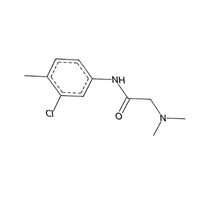 Cc1ccc(NC(=O)CN(C)C)cc1Cl